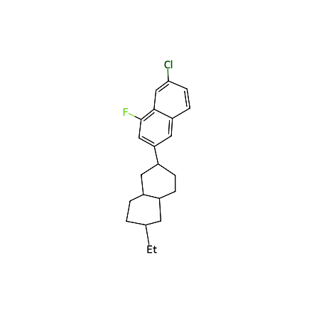 CCC1CCC2CC(c3cc(F)c4cc(Cl)ccc4c3)CCC2C1